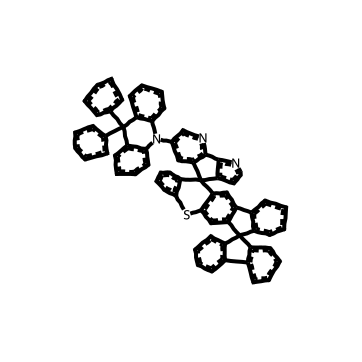 c1ccc(C2(c3ccccc3)c3ccccc3N(c3cnc4c(c3)C3(c5ccccc5Sc5cc6c(cc53)-c3ccccc3C63c5ccccc5-c5ccccc53)c3cccnc3-4)c3ccccc32)cc1